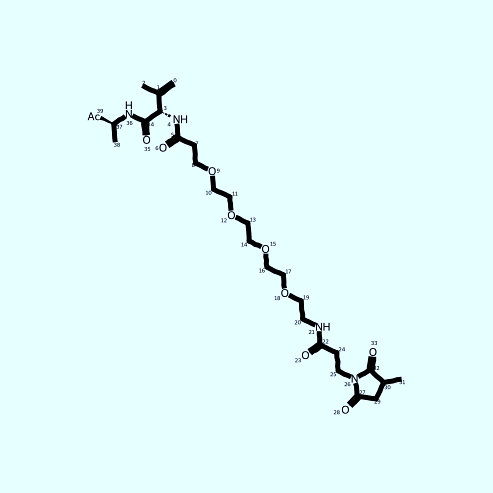 C=C(C)[C@H](NC(=O)CCOCCOCCOCCOCCNC(=O)CCN1C(=O)CC(C)C1=O)C(=O)N[C@@H](C)C(C)=O